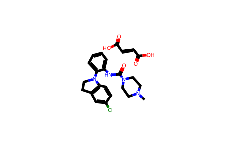 CN1CCN(C(=O)Nc2ccccc2N2CCc3cc(Cl)ccc32)CC1.O=C(O)C=CC(=O)O